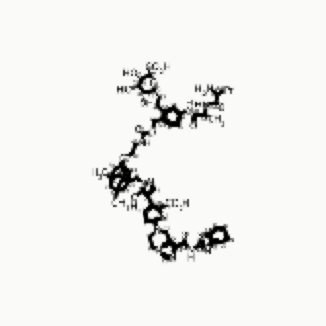 Cc1c(-c2ccc(N3CCn4cnc(C(=O)Nc5nc6ccccc6s5)c4C3)nc2C(=O)O)cnn1CC12CC3(C)CC(C)(C1)CC(OCCNC(=O)OCc1ccc(NC(=O)C(C)NC(=O)C(N)C(C)C)cc1CC[C@@H]1O[C@H](C(=O)O)[C@@H](O)[C@H](O)[C@H]1O)(C3)C2